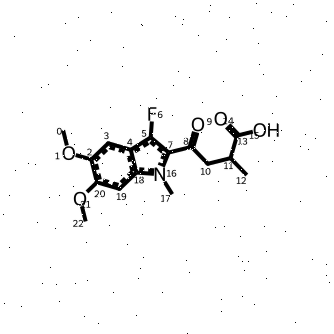 COc1cc2c(F)c(C(=O)CC(C)C(=O)O)n(C)c2cc1OC